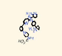 Nc1ncccc1-c1nc2ccc(-c3cccc(N4CCC(NC(=O)O)CC4)c3)nc2n1-c1ccc(C2(N)CCC2)cc1